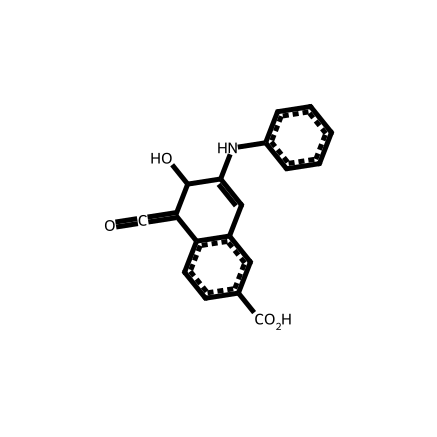 O=C=C1c2ccc(C(=O)O)cc2C=C(Nc2ccccc2)C1O